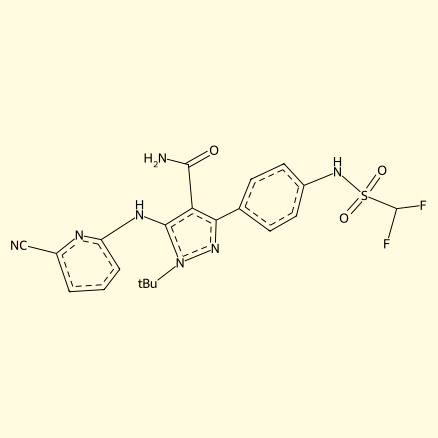 CC(C)(C)n1nc(-c2ccc(NS(=O)(=O)C(F)F)cc2)c(C(N)=O)c1Nc1cccc(C#N)n1